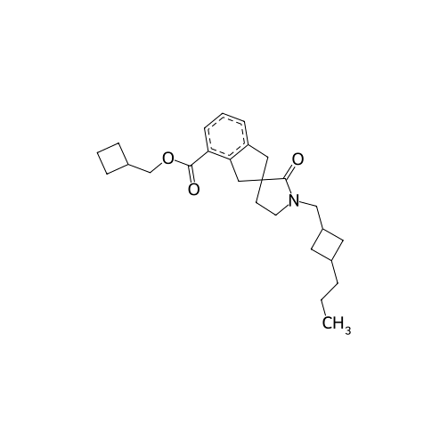 CCCC1CC(CN2CCC3(Cc4cccc(C(=O)OCC5CCC5)c4C3)C2=O)C1